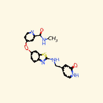 CNC(=O)c1cc(Oc2ccc3nc(NCc4cc[nH]c(=O)c4)sc3c2)ccn1